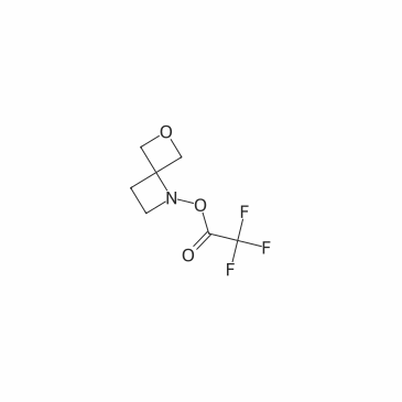 O=C(ON1CCC12COC2)C(F)(F)F